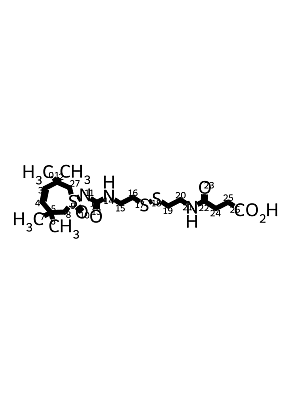 CC1(C)C=CC(C)(C)CS(=O)(=NC(=O)NCCSSCCNC(=O)CCC(=O)O)C1